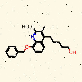 Cc1c(C(=O)O)nc2c(OCc3ccccc3)cccc2c1CCCCCO